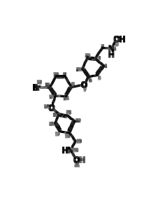 ONCc1ccc(Oc2ccc(Br)c(Oc3ccc(CNO)cc3)c2)cc1